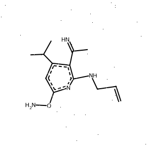 C=CCNc1nc(ON)cc(C(C)C)c1C(C)=N